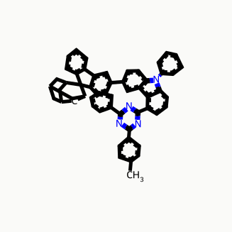 Cc1ccc(-c2nc(-c3ccccc3)nc(-c3cccc4c3c3cc(-c5ccc6c(c5)-c5ccccc5C65C6CC7CC(C6)CC5C7)ccc3n4-c3ccccc3)n2)cc1